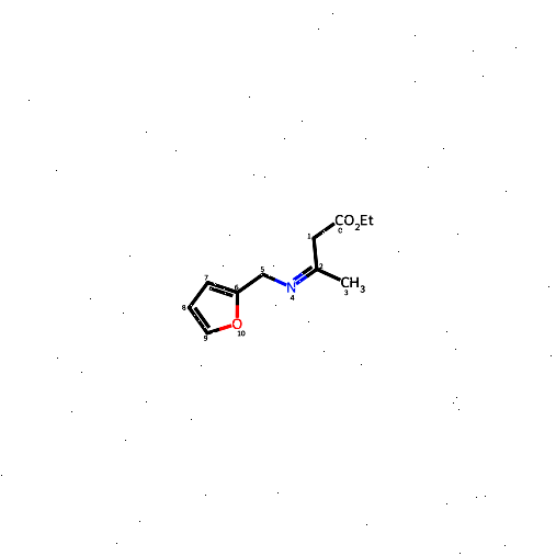 CCOC(=O)CC(C)=NCc1ccco1